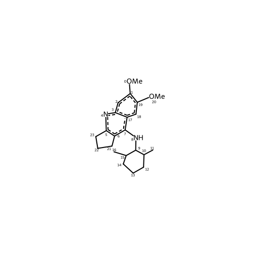 COc1cc2nc3c(c(NC4C(C)CCCC4C)c2cc1OC)CCC3